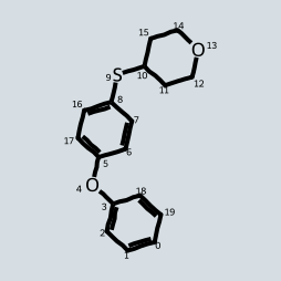 c1ccc(Oc2ccc(SC3CCOCC3)cc2)cc1